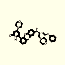 O=c1cc(N2CCOCC2)cc(-c2cccc3c2Sc2ccc(N[C@H](CCOc4ccccc4)CN4CCOCC4)cc2S3)[nH]1